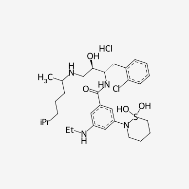 CCNc1cc(C(=O)N[C@@H](Cc2ccccc2Cl)[C@H](O)CNC(C)CCCC(C)C)cc(N2CCCCS2(O)O)c1.Cl